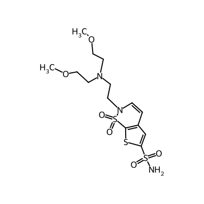 COCCN(CCOC)CCN1C=Cc2cc(S(N)(=O)=O)sc2S1(=O)=O